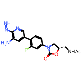 CC(=O)NC[C@H]1CN(c2ccc(-c3cnc(N=N)c(N)c3)c(F)c2)C(=O)O1